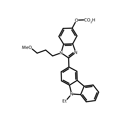 CCn1c2ccccc2c2cc(-c3nc4cc(OC(=O)O)ccc4n3CCCOC)ccc21